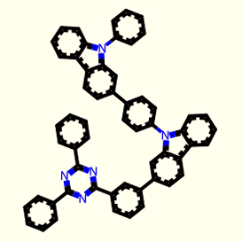 c1ccc(-c2nc(-c3ccccc3)nc(-c3cccc(-c4ccc5c6ccccc6n(-c6ccc(-c7ccc8c9ccccc9n(-c9ccccc9)c8c7)cc6)c5c4)c3)n2)cc1